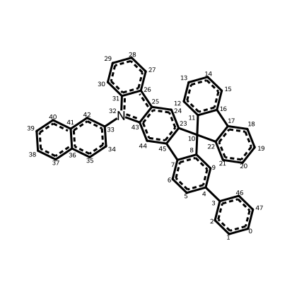 c1ccc(-c2ccc3c(c2)C2(c4ccccc4-c4ccccc42)c2cc4c5ccccc5n(-c5ccc6ccccc6c5)c4cc2-3)cc1